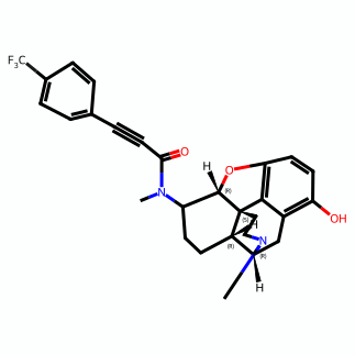 CN(C(=O)C#Cc1ccc(C(F)(F)F)cc1)C1CC[C@H]2[C@H]3Cc4c(O)ccc5c4[C@@]2(CCN3C)[C@H]1O5